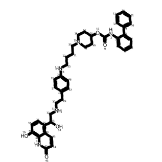 O=C(Nc1ccccc1-c1ccccc1)OC1CCN(CCCCNc2ccc(CCNCC(O)c3ccc(O)c4[nH]c(=O)ccc34)cc2)CC1